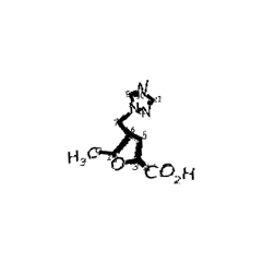 Cc1oc(C(=O)O)cc1Cn1cncn1